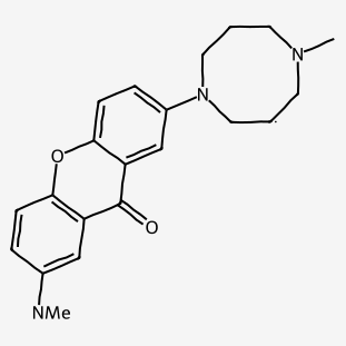 CNc1ccc2oc3ccc(N4C[CH]CN(C)CCC4)cc3c(=O)c2c1